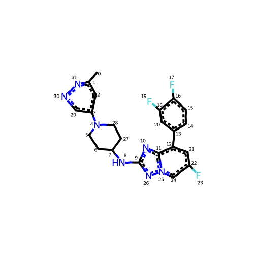 Cc1cc(N2CCC(Nc3nc4c(-c5ccc(F)c(F)c5)cc(F)cn4n3)CC2)cnn1